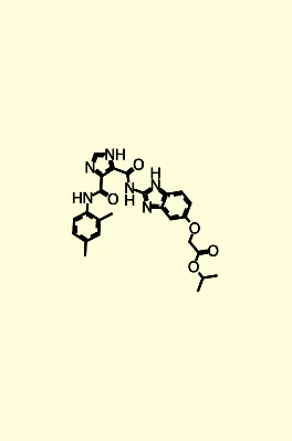 Cc1ccc(NC(=O)c2nc[nH]c2C(=O)Nc2nc3cc(OCC(=O)OC(C)C)ccc3[nH]2)c(C)c1